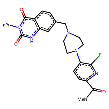 CCCn1c(=O)[nH]c2cc(CN3CCN(c4ccc(C(=O)NC)nc4F)CC3)ccc2c1=O